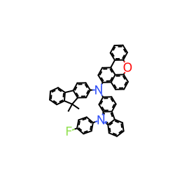 CC1(C)c2ccccc2-c2ccc(N(c3ccc4c5ccccc5n(-c5ccc(F)cc5)c4c3)c3ccc4c5c(cccc35)Oc3ccccc3-4)cc21